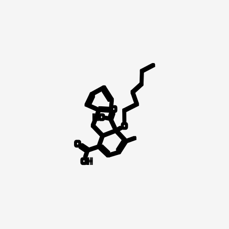 CCCCCCOC1(C(=O)O)C(C)=CC=C(C(=O)O)C1Cc1ccccc1